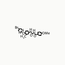 COc1ccc(C(=O)NC(=O)Nc2ccc(Oc3ncc(Br)cn3)c(C)c2)cc1